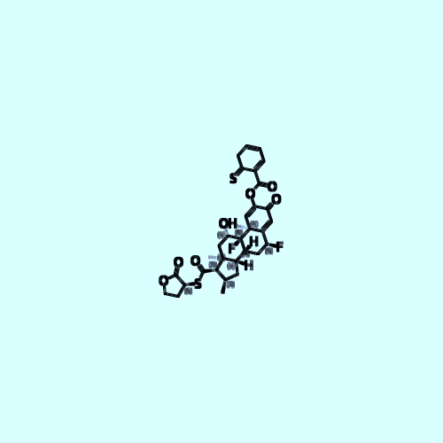 C[C@@H]1C[C@H]2[C@H]3C[C@H](F)C4=CC(=O)C(OC(=O)C5=CC=CCC5=S)=C[C@]4(C)[C@@]3(F)[C@@H](O)C[C@]2(C)[C@@H]1C(=O)S[C@H]1CCOC1=O